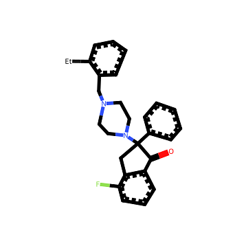 CCc1ccccc1CN1CCN(C2(c3ccccc3)Cc3c(F)cccc3C2=O)CC1